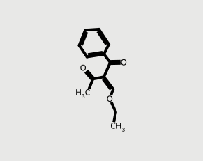 CCOC=C(C(C)=O)C(=O)c1ccccc1